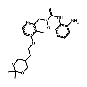 C=C(Nc1ccccc1N)[S+]([O-])Cc1nccc(OCCC2COC(C)(C)OC2)c1C